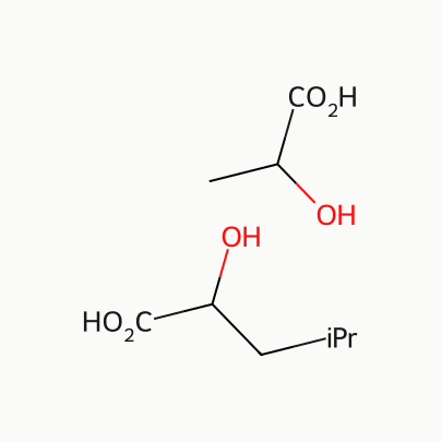 CC(C)CC(O)C(=O)O.CC(O)C(=O)O